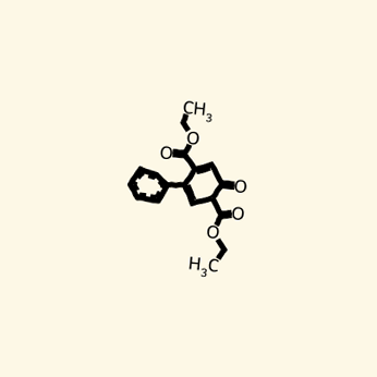 CCOC(=O)C1=CC(=O)C(C(=O)OCC)C=C1c1ccccc1